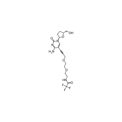 Nc1nc(=O)n([C@H]2CC[C@@H](CO)O2)cc1C#CCOCCOCCNC(=O)C(F)(F)F